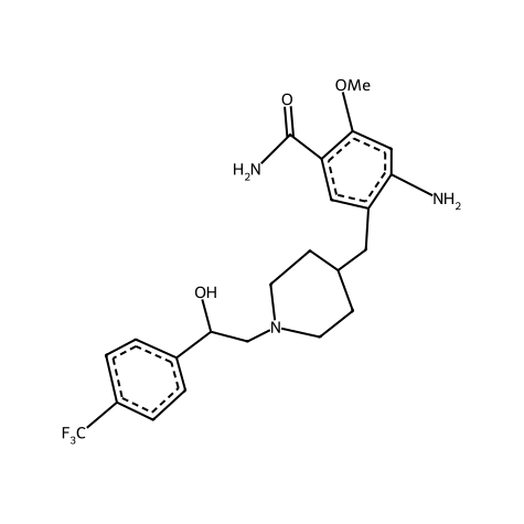 COc1cc(N)c(CC2CCN(CC(O)c3ccc(C(F)(F)F)cc3)CC2)cc1C(N)=O